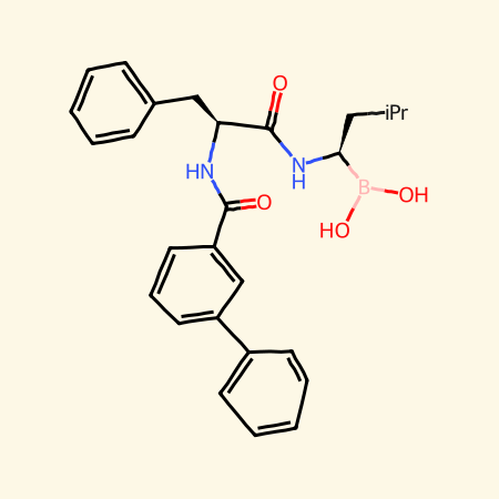 CC(C)C[C@H](NC(=O)[C@H](Cc1ccccc1)NC(=O)c1cccc(-c2ccccc2)c1)B(O)O